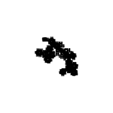 CC(C)(CCC(C)(C)c1ccc2c3ccc(C(C)(C)C)cc3n(-c3ccc(-c4nc(-c5ccccc5)nc(-c5ccccc5)n4)c(-c4ccccn4)c3)c2c1)C1=CC2c3ccccc3N(c3ccc(-c4nc(-c5ccccc5)nc(-c5ccccc5)n4)c(-c4ccccn4)c3)C2C=C1